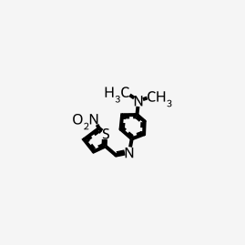 CN(C)c1ccc(/N=C\c2ccc([N+](=O)[O-])s2)cc1